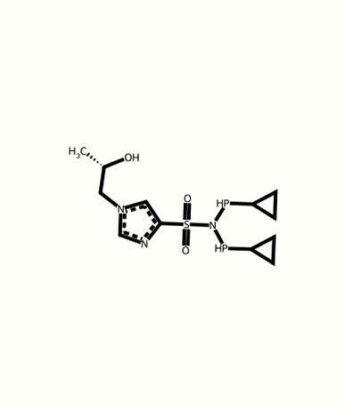 C[C@H](O)Cn1cnc(S(=O)(=O)N(PC2CC2)PC2CC2)c1